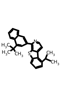 CC(C)c1cccc2sc3c(-c4cc(C(C)(C)C)c5ccccc5c4)nccc3c12